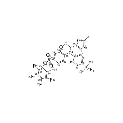 Cc1nc(-c2cc(C(F)(F)F)ccc2C2CCOc3cc(S(=O)(=O)Oc4c(F)c(F)c(F)c(F)c4F)ccc32)co1